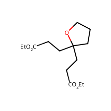 CCOC(=O)CCC1(CCC(=O)OCC)CCCO1